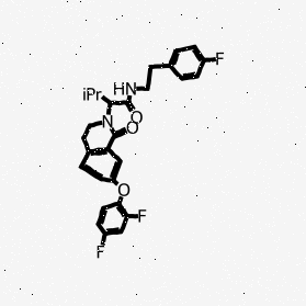 CC(C)C(C(=O)NCCc1ccc(F)cc1)N1CCc2ccc(Oc3ccc(F)cc3F)cc2C1=O